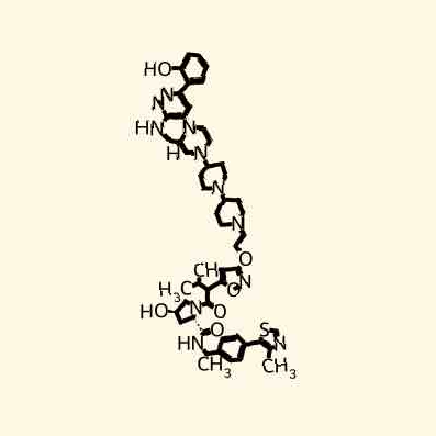 Cc1ncsc1-c1ccc(C(C)NC(=O)[C@@H]2C[C@@H](O)CN2C(=O)C(c2cc(OCCN3CCC(N4CCC(N5CCN6c7cc(-c8ccccc8O)nnc7NC[C@H]6C5)CC4)CC3)no2)C(C)C)cc1